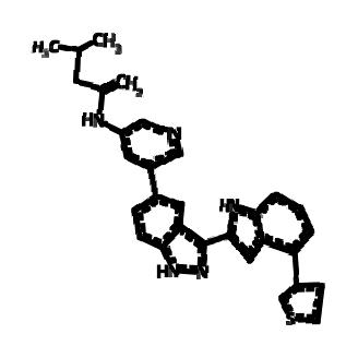 C=C(CC(C)C)Nc1cncc(-c2ccc3[nH]nc(-c4cc5c(-c6ccsc6)cccc5[nH]4)c3c2)c1